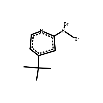 CC(C)(C)c1ccnc(B(Br)Br)c1